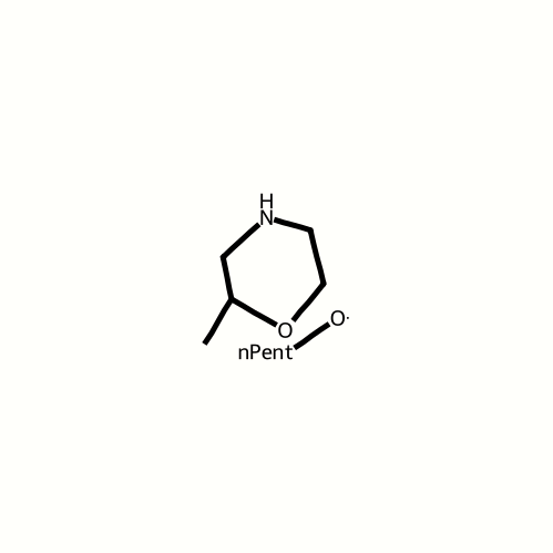 CC1CNCCO1.CCCCC[O]